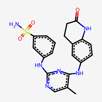 Cc1cnc(Nc2cccc(S(N)(=O)=O)c2)nc1Nc1ccc2c(c1)CCC(=O)N2